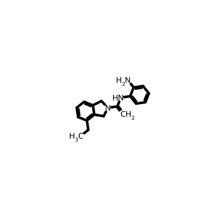 C=C(Nc1ccccc1N)N1Cc2cccc(CC)c2C1